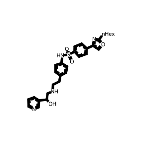 CCCCCCc1nc(-c2ccc(S(=O)(=O)Nc3ccc(CCNCC(O)c4cccnc4)cc3)cc2)co1